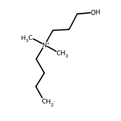 [CH2]CCC[N+](C)(C)CCCO